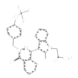 Cc1c(-c2nn(Cc3ccc(OC(F)(F)F)cc3)c(=O)c3ccccc23)c2ccccc2n1CC(=O)O